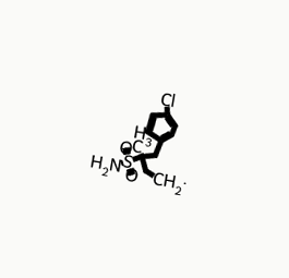 [CH2]CC(C)(Cc1ccc(Cl)cc1)S(N)(=O)=O